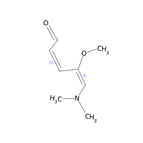 COC(/C=C\C=O)=C/N(C)C